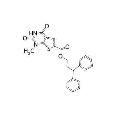 Cn1c(=O)[nH]c(=O)c2cc(C(=O)OCCC(c3ccccc3)c3ccccc3)sc21